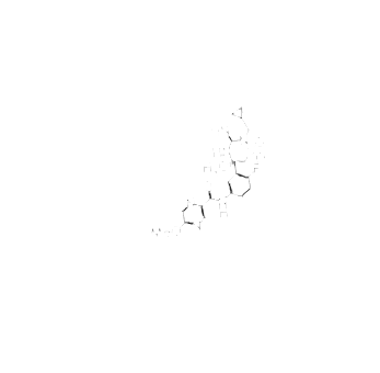 COc1cnc(C(=O)Nc2ccc(F)c([C@]3(C)CS(=O)(=O)N(CC4CC4)C(=N)N3)c2)cn1